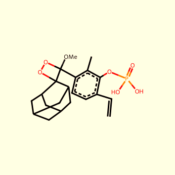 C=Cc1ccc(C2(OC)OOC23C2CC4CC(C2)CC3C4)c(C)c1OP(=O)(O)O